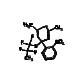 CC1=CC(SC(F)(F)C(F)(F)C(F)(F)F)(c2ccccc2[N+](=O)[O-])C=C(C)[CH]1